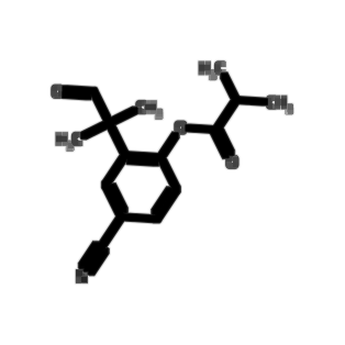 CC(C)C(=O)Oc1ccc(C#N)cc1C(C)(C)C=O